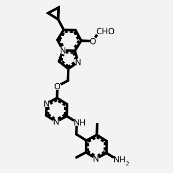 Cc1cc(N)nc(C)c1CNc1cc(OCc2cn3cc(C4CC4)cc(OC=O)c3n2)ncn1